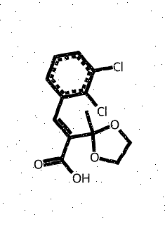 CC1(C(=Cc2cccc(Cl)c2Cl)C(=O)O)OCCO1